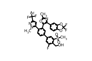 CC(=O)C(F)(F)c1cc(-c2ccc(-c3cc(F)c(CO)c(S(C)(=O)=O)c3)cc2-c2oc(C)nc2-c2ccc3c(c2)OC(F)(F)O3)n(C)n1